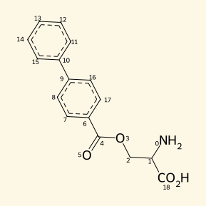 NC(COC(=O)c1ccc(-c2ccccc2)cc1)C(=O)O